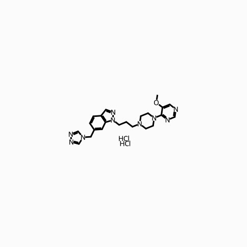 COc1cncnc1N1CCN(CCCn2ncc3ccc(Cn4cnnc4)cc32)CC1.Cl.Cl